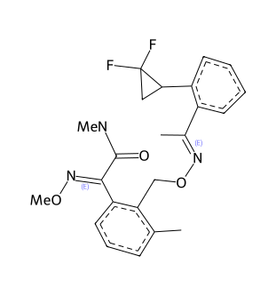 CNC(=O)/C(=N/OC)c1cccc(C)c1CO/N=C(\C)c1ccccc1C1CC1(F)F